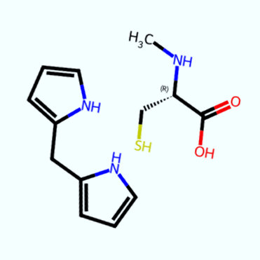 CN[C@@H](CS)C(=O)O.c1c[nH]c(Cc2ccc[nH]2)c1